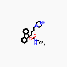 O=C(NCC(F)(F)F)OC1(CCCCN2CCNCC2)c2ccccc2-c2ccccc21